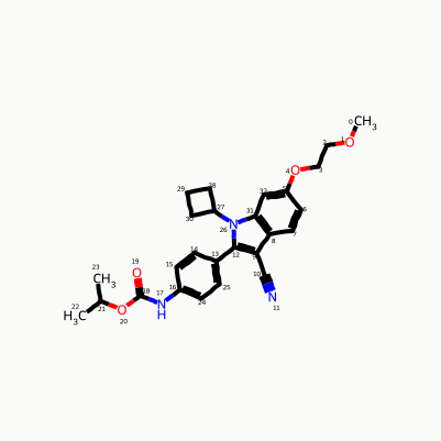 COCCOc1ccc2c(C#N)c(-c3ccc(NC(=O)OC(C)C)cc3)n(C3CCC3)c2c1